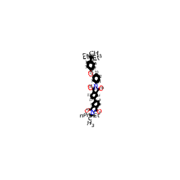 CCCC(C)(CC)N1C(=O)c2ccc(-c3ccc4c(c3)C(=O)N(c3cccc(Oc5ccc(C(C)(CC)CC)cc5)c3)C4=O)cc2C1=O